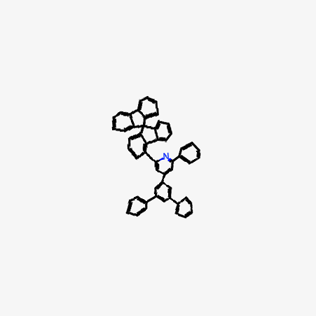 c1ccc(-c2cc(-c3ccccc3)cc(-c3cc(-c4ccccc4)nc(-c4cccc5c4-c4ccccc4C54c5ccccc5-c5ccccc54)c3)c2)cc1